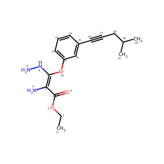 CCOC(=O)/C(N)=C(/NN)Oc1cccc(C#CCC(C)C)c1